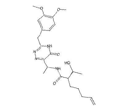 C=CCCCC(C(=O)NC(C)c1nnc(Cc2ccc(OC)c(OC)c2)[nH]c1=O)C(C)O